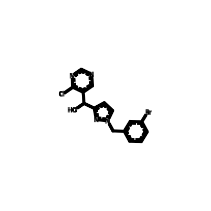 OC(c1ccn(Cc2cccc(Br)c2)n1)c1cncnc1Cl